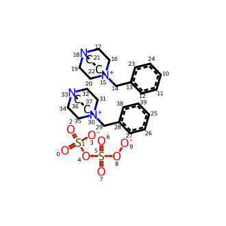 O=S(=O)([O-])OS(=O)(=O)O[O-].c1ccc(C[N+]23CCN(CC2)CC3)cc1.c1ccc(C[N+]23CCN(CC2)CC3)cc1